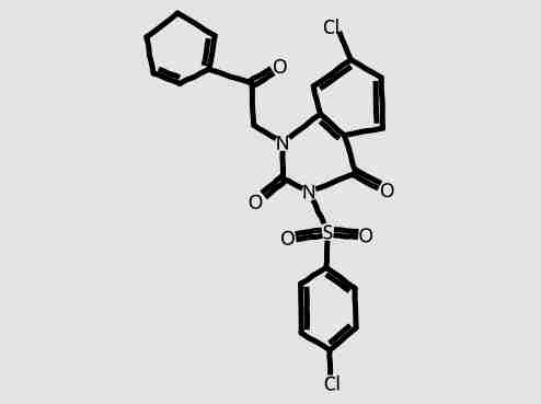 O=C(Cn1c(=O)n(S(=O)(=O)c2ccc(Cl)cc2)c(=O)c2ccc(Cl)cc21)C1=CCCC=C1